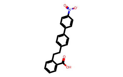 O=C(O)c1ccccc1CCc1ccc(-c2ccc([N+](=O)[O-])cc2)cc1